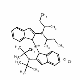 CCC(C)P(C1=Cc2ccccc2[CH]1[Hf+2][CH]1C(P(C(C)(C)C)C(C)(C)C)=Cc2ccccc21)C(C)CC.[Cl-].[Cl-]